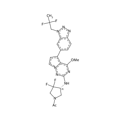 COc1nc(N[C@@H]2CN(C(C)=O)CC2(F)F)nn2ccc(-c3ccc4nnn(CC(C)(F)F)c4c3)c12